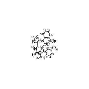 COc1ccc(CC(C)OC(=O)N(C)Cc2ncsc2C(COC=O)c2ccccc2)c(OC)c1